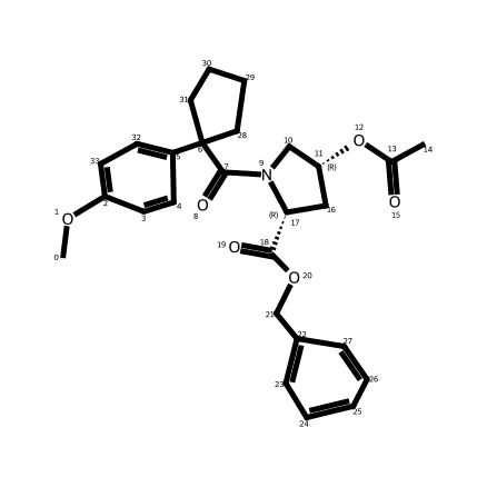 COc1ccc(C2(C(=O)N3C[C@H](OC(C)=O)C[C@@H]3C(=O)OCc3ccccc3)CCCC2)cc1